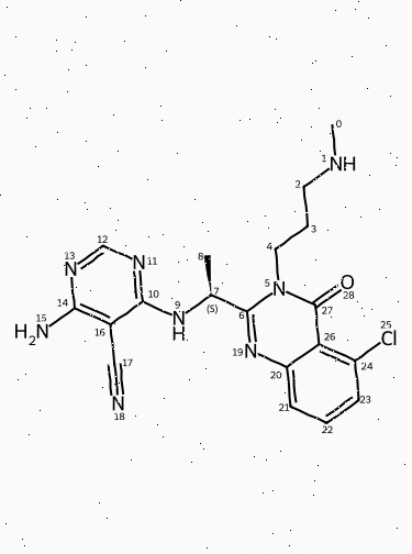 CNCCCn1c([C@H](C)Nc2ncnc(N)c2C#N)nc2cccc(Cl)c2c1=O